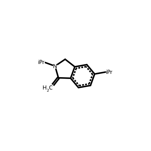 C=C1c2ccc(C(C)C)cc2CN1C(C)C